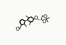 Cc1cc(OC[C@@H]2COC(C)(C)O2)cc(C)c1-c1cccc(C=O)c1C